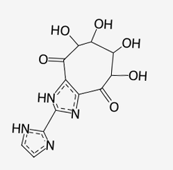 O=C1c2nc(-c3ncc[nH]3)[nH]c2C(=O)C(O)C(O)C(O)C1O